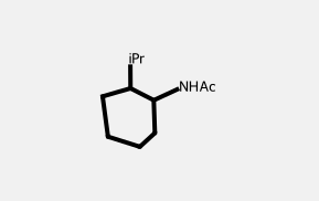 CC(=O)NC1CCCCC1C(C)C